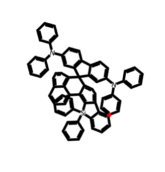 c1ccc(N(c2ccccc2)c2ccc3c(c2)C2(c4cc(N(c5ccccc5)c5ccccc5)ccc4-3)c3ccc4c(c3-c3cccc5cccc2c35)[Si](c2ccccc2)(c2ccccc2)c2ccccc2-4)cc1